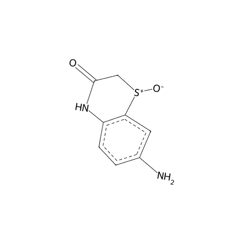 Nc1ccc2c(c1)[S+]([O-])CC(=O)N2